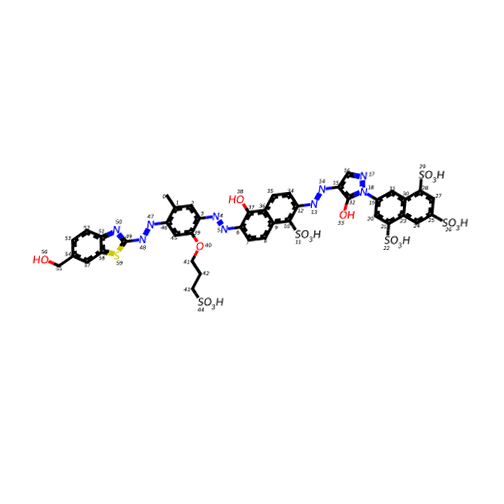 Cc1cc(N=Nc2ccc3c(S(=O)(=O)O)c(N=Nc4cnn(-c5cc(S(=O)(=O)O)c6cc(S(=O)(=O)O)cc(S(=O)(=O)O)c6c5)c4O)ccc3c2O)c(OCCCS(=O)(=O)O)cc1N=Nc1nc2ccc(CO)cc2s1